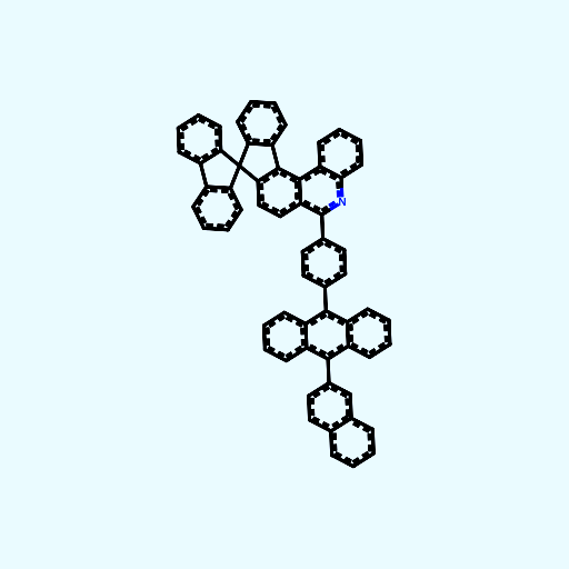 c1ccc2c(c1)-c1ccccc1C21c2ccccc2-c2c1ccc1c(-c3ccc(-c4c5ccccc5c(-c5ccc6ccccc6c5)c5ccccc45)cc3)nc3ccccc3c21